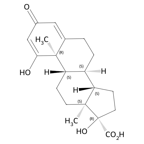 C[C@]12C(O)=CC(=O)C=C1CC[C@@H]1[C@@H]2CC[C@@]2(C)[C@H]1CC[C@]2(O)C(=O)O